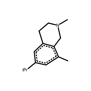 Cc1cc(C(C)C)cc2c1CN(C)CC2